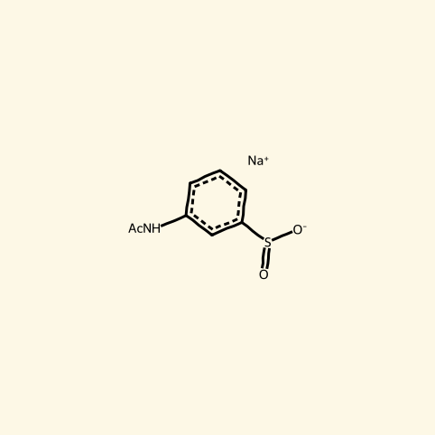 CC(=O)Nc1cccc(S(=O)[O-])c1.[Na+]